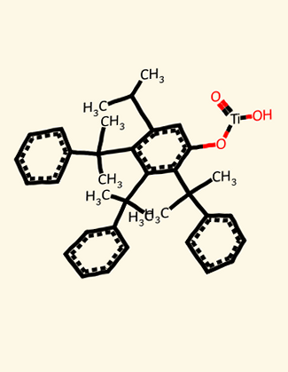 CC(C)c1cc([O][Ti](=[O])[OH])c(C(C)(C)c2ccccc2)c(C(C)(C)c2ccccc2)c1C(C)(C)c1ccccc1